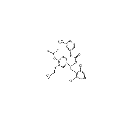 O=C(O[C@@H](Cc1c(Cl)cncc1Cl)c1ccc(OC(F)F)c(OCC2CC2)c1)Sc1cccc(C(F)(F)F)c1